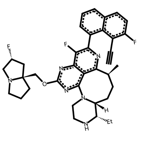 C#Cc1c(F)ccc2cccc(-c3nc4c5c(nc(OC[C@@]67CCCN6C[C@H](F)C7)nc5c3F)N3CCN[C@@H](CC)[C@H]3CC[C@@H]4C)c12